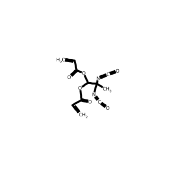 C=CC(=O)OC(OC(=O)C=C)C(C)(N=C=O)N=C=O